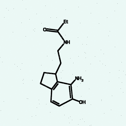 CCC(=O)NCCC1CCc2ccc(O)c(N)c21